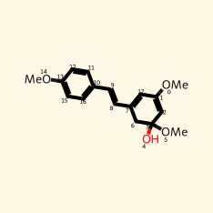 COC1=CC(O)(OC)CC(C=Cc2ccc(OC)cc2)=C1